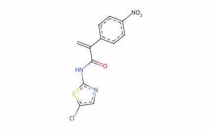 C=C(C(=O)Nc1ncc(Cl)s1)c1ccc([N+](=O)[O-])cc1